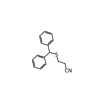 N#CCCSC(c1ccccc1)c1ccccc1